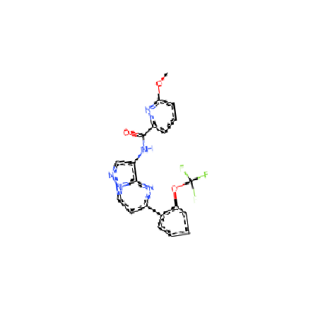 COc1cccc(C(=O)Nc2cnn3ccc(-c4ccccc4OC(F)(F)F)nc23)n1